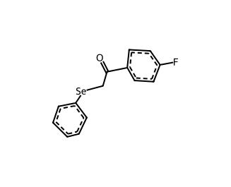 O=C(C[Se]c1ccccc1)c1ccc(F)cc1